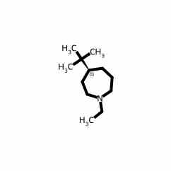 CCN1CCC[C@H](C(C)(C)C)CC1